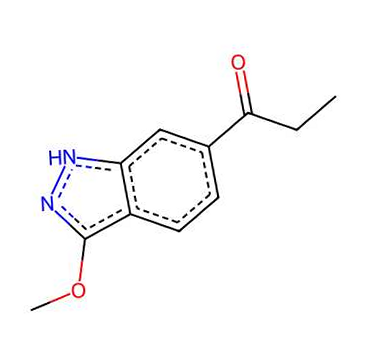 CCC(=O)c1ccc2c(OC)n[nH]c2c1